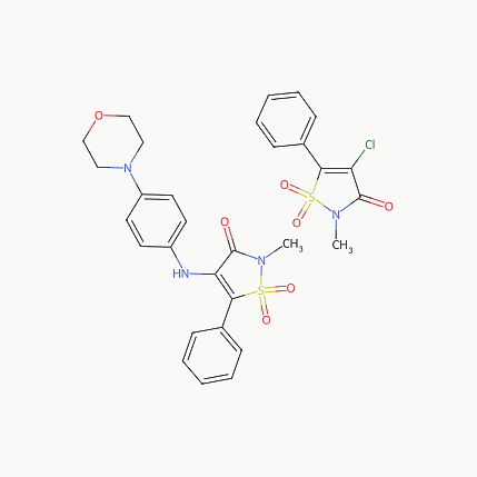 CN1C(=O)C(Cl)=C(c2ccccc2)S1(=O)=O.CN1C(=O)C(Nc2ccc(N3CCOCC3)cc2)=C(c2ccccc2)S1(=O)=O